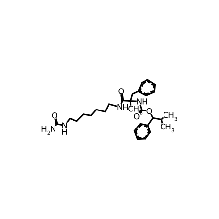 CC(C)C(OC(=O)NC(C)(Cc1ccccc1)C(=O)NCCCCCCCNC(N)=O)c1ccccc1